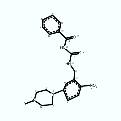 CN1CCN(c2ccc([N+](=O)[O-])c(CNC(=S)NC(=O)c3ccccc3)c2)CC1